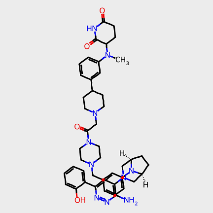 CN(c1cccc(C2CCN(CC(=O)N3CCN(Cc4cccc(N5[C@@H]6CC[C@H]5CN(c5cc(-c7ccccc7O)nnc5N)C6)c4)CC3)CC2)c1)C1CCC(=O)NC1=O